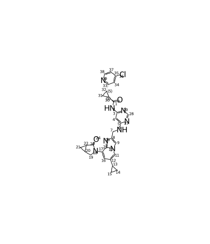 O=C(Nc1cc(NCc2cn3cc(C4CC4)cc(N4CC5CC5C4=O)c3n2)ncn1)[C@H]1C[C@@H]1c1cc(Cl)ccn1